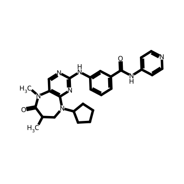 CC1CN(C2CCCC2)c2nc(Nc3cccc(C(=O)Nc4ccncc4)c3)ncc2N(C)C1=O